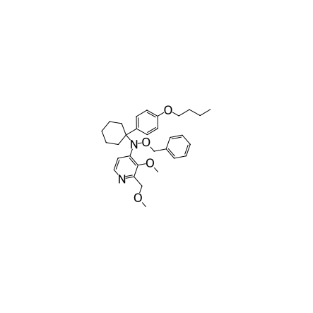 CCCCOc1ccc(C2(N(OCc3ccccc3)c3ccnc(COC)c3OC)CCCCC2)cc1